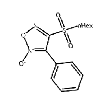 CCCCCCS(=O)(=O)c1no[n+]([O-])c1-c1ccccc1